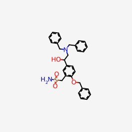 NS(=O)(=O)Cc1cc(C(O)CN(Cc2ccccc2)Cc2ccccc2)ccc1OCc1ccccc1